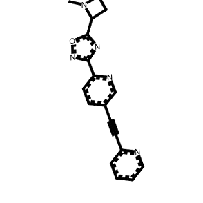 CN1CCC1c1nc(-c2ccc(C#Cc3ccccn3)cn2)no1